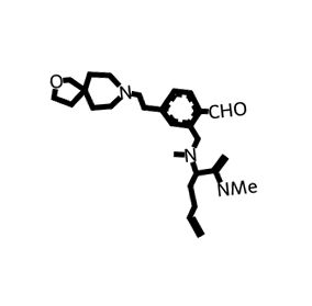 C=CCCC(C(=C)NC)N(C)Cc1cc(CCN2CCC3(CCOC3)CC2)ccc1C=O